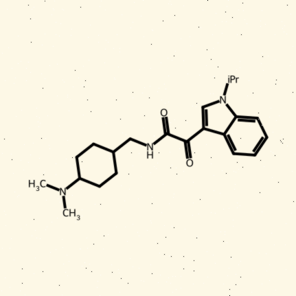 CC(C)n1cc(C(=O)C(=O)NCC2CCC(N(C)C)CC2)c2ccccc21